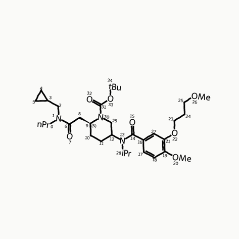 CCCN(CC1CC1)C(=O)C[C@@H]1CCC(N(C(=O)c2ccc(OC)c(OCCCOC)c2)C(C)C)CN1C(=O)OC(C)(C)C